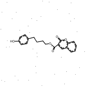 O=C(OCCCCc1ccc(O)cc1)c1cc2ccccc2oc1=O